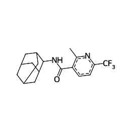 Cc1nc(C(F)(F)F)ccc1C(=O)NC1C2CC3CC(C2)CC1C3